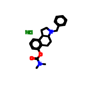 CN(C)C(=O)Oc1cccc2c1CCC1C2CCN1Cc1ccccc1.Cl